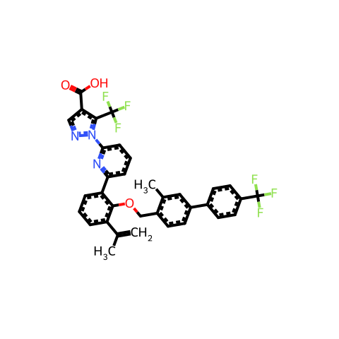 C=C(C)c1cccc(-c2cccc(-n3ncc(C(=O)O)c3C(F)(F)F)n2)c1OCc1ccc(-c2ccc(C(F)(F)F)cc2)cc1C